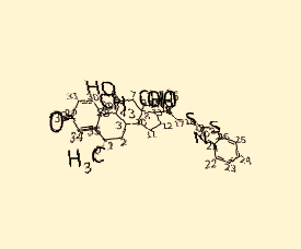 C[C@H]1CC2C([C@@H](O)CC3(C)C2CC[C@]3(O)C(=O)CSc2nc3ccccc3s2)C2(C)C=CC(=O)C=C12